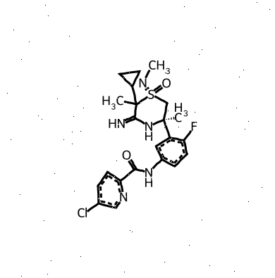 CN=S1(=O)C[C@@](C)(c2cc(NC(=O)c3ccc(Cl)cn3)ccc2F)NC(=N)C1(C)C1CC1